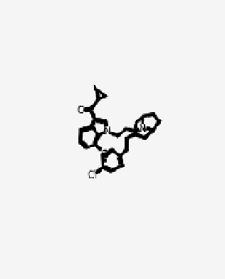 COc1cccc2c(C(=O)C3CC3)cn(CCCN3C4CCC3CC(CCc3ccc(Cl)cc3)C4)c12